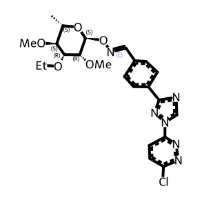 CCO[C@@H]1[C@@H](OC)[C@H](C)O[C@@H](O/N=C/c2ccc(-c3ncn(-c4ccc(Cl)nn4)n3)cc2)[C@@H]1OC